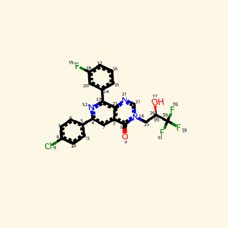 O=c1c2cc(-c3ccc(Cl)cc3)nc(-c3cccc(F)c3)c2ncn1C[C@@H](O)C(F)(F)F